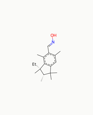 CC[C@]1(C)c2c(cc(C)c(C=NO)c2C)C(C)(C)[C@@H]1C